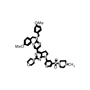 COc1ccc(CN(Cc2ccc(OC)cc2)c2ncc(-c3nc(N4CCOCC4)nc4c3CCN4c3cncc(S(=O)(=O)N4CCN(C)CC4)c3)cn2)cc1